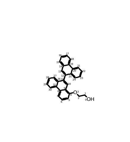 OCCOc1cccc2c1cc(-c1cc3ccccc3c3ccccc13)c1ccccc12